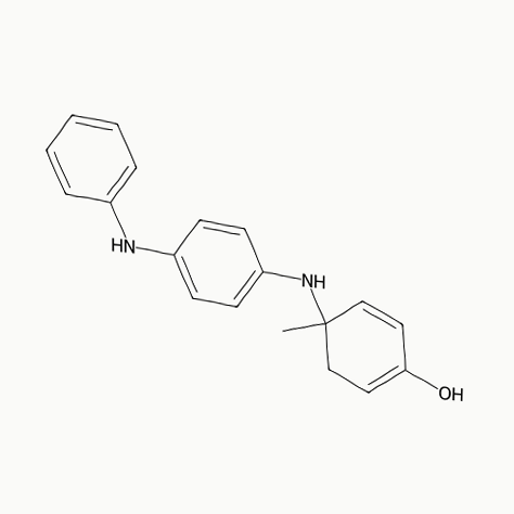 CC1(Nc2ccc(Nc3ccccc3)cc2)C=CC(O)=CC1